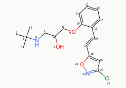 CC(C)(C)NCC(O)COc1ccccc1C=Cc1cc(Cl)no1